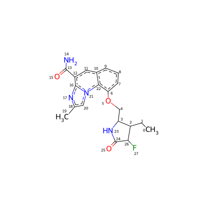 CCC1C(COc2cccc3cc(C(N)=O)c4nc(C)cn4c23)NC(=O)C1F